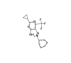 Nc1nc(C2CC2)nc(C(F)(F)F)c1/N=N/c1ccccc1